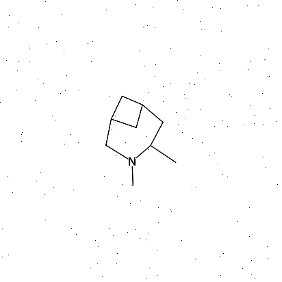 CC1CC2CC(C2)CN1C